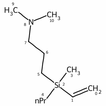 C=C[Si](C)(CCC)CCCN(C)C